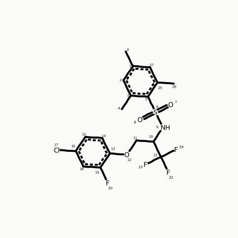 Cc1cc(C)c(S(=O)(=O)NC(COc2ccc(Cl)cc2F)C(F)(F)F)c(C)c1